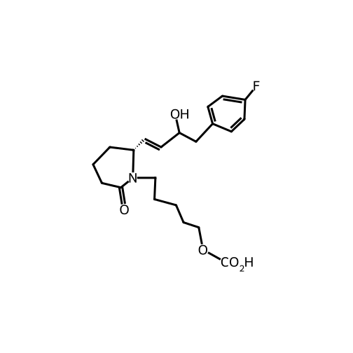 O=C(O)OCCCCCN1C(=O)CCC[C@@H]1/C=C/C(O)Cc1ccc(F)cc1